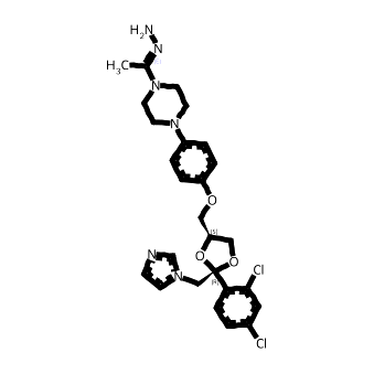 C/C(=N\N)N1CCN(c2ccc(OC[C@H]3CO[C@](Cn4ccnc4)(c4ccc(Cl)cc4Cl)O3)cc2)CC1